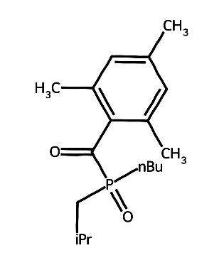 CCCCP(=O)(CC(C)C)C(=O)c1c(C)cc(C)cc1C